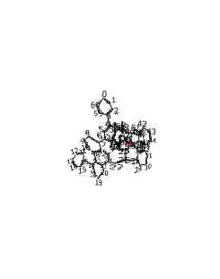 c1ccc(-c2cc(-c3ccc4c5ccccc5c5cccc(-c6ccc7c(c6)-c6ccccc6C76c7ccccc7-c7ccccc76)c5c4c3)nc(-c3ccccc3)n2)cc1